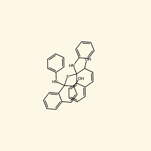 OC1C=Cc2ccccc2C1(Nc1ccccc1)SC1(Nc2ccccc2)c2ccccc2C=CC1O